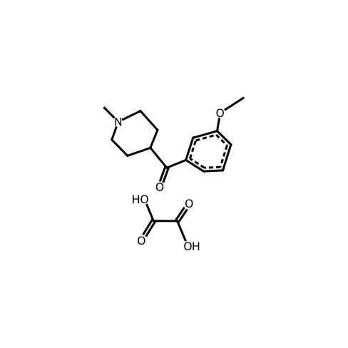 COc1cccc(C(=O)C2CCN(C)CC2)c1.O=C(O)C(=O)O